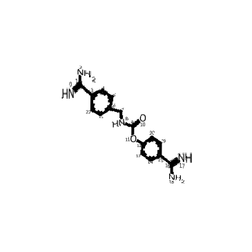 N=C(N)c1ccc(CNC(=O)Oc2ccc(C(=N)N)cc2)cc1